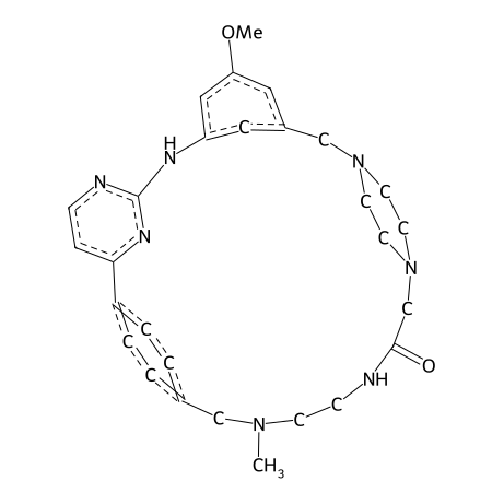 COc1cc2cc(c1)Nc1nccc(n1)-c1ccc(cc1)CN(C)CCNC(=O)CN1CCN(CC1)C2